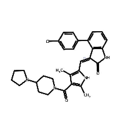 Cc1[nH]c(/C=C2\C(=O)Nc3cccc(-c4ccc(Cl)cc4)c32)c(C)c1C(=O)N1CCC(N2CCCC2)CC1